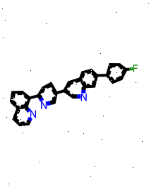 Fc1ccc(-c2ccc3cc(-c4ccc(-c5cccc6cccnc56)nc4)cnc3c2)cc1